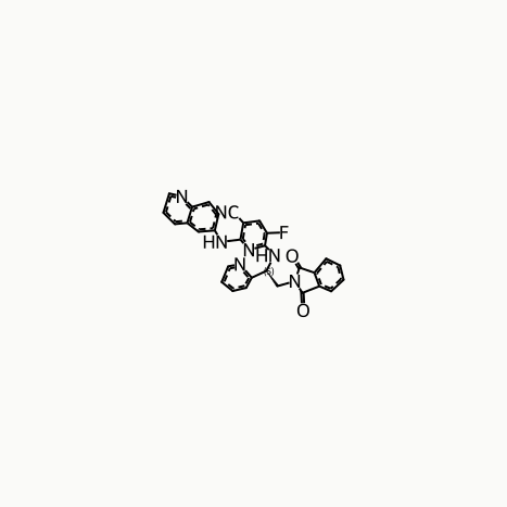 N#Cc1cc(F)c(N[C@@H](CN2C(=O)c3ccccc3C2=O)c2ccccn2)nc1Nc1ccc2ncccc2c1